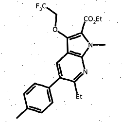 CCOC(=O)c1c(OCC(F)(F)F)c2cc(-c3ccc(C)cc3)c(CC)nc2n1C